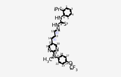 CC(C)c1ccccc1NC(=S)N/N=C/C=C/c1cnc(N(C)c2ccc(OC(F)(F)F)cc2)nc1